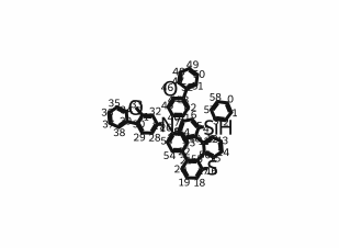 c1ccc([SiH]2c3ccccc3-c3c2ccc2sc4cccc(-c5ccc(N(c6ccc7c(c6)oc6ccccc67)c6ccc7c(c6)oc6ccccc67)cc5)c4c32)cc1